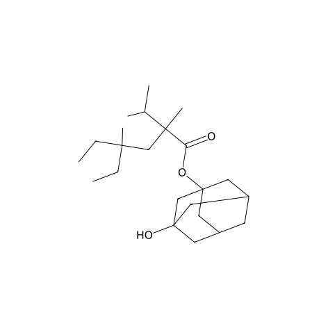 CCC(C)(CC)CC(C)(C(=O)OC12CC3CC(CC(O)(C3)C1)C2)C(C)C